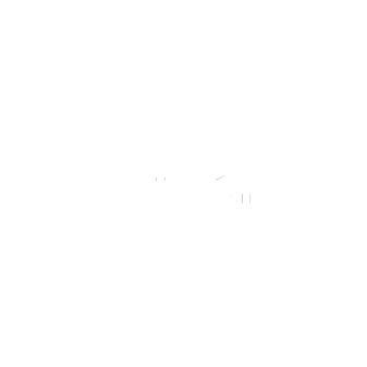 CCCCCC(CCCC)OCCCCC(=O)O[SiH3]